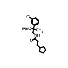 COC(C)(CNC(=O)CCC1CCCC1)c1cccc(Cl)c1